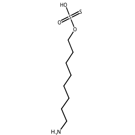 NCCCCCCCCOS(=O)(O)=S